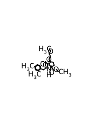 CCOC(=O)C1(NC(=O)Cc2c(C)cc(C)cc2C)CCC(OCCOC)C1